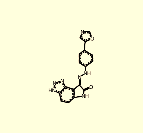 O=C1Nc2ccc3[nH]nnc3c2/C1=N/Nc1ccc(-c2cnco2)cc1